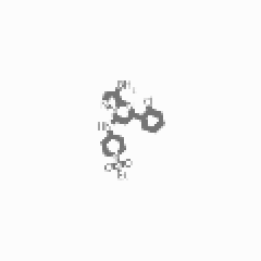 Bc1cnn2c(NC3CCN(S(=O)(=O)CC)CC3)cc(-c3ccccc3Cl)nc12